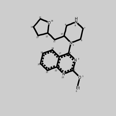 CCOc1nc(N2CCNCC2CC2CCCO2)c2ccccc2n1